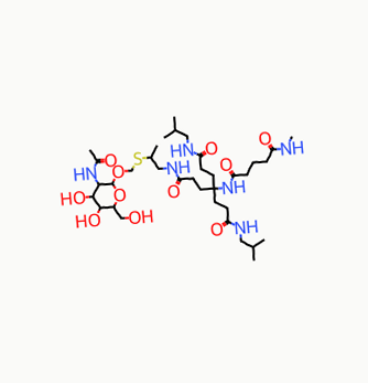 CNC(=O)CCCC(=O)NC(CCC(=O)NCC(C)C)(CCC(=O)NCC(C)C)CCC(=O)NCC(C)SCOC1OC(CO)C(O)C(O)C1NC(C)=O